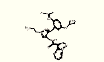 NCCn1cc(NC(=O)c2cnn3cccnc23)c(-c2cc(SC3COC3)ccc2OC(F)F)n1